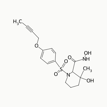 CC#CCOc1ccc(S(=O)(=O)N2CCCC(C)(O)C2C(=O)NO)cc1